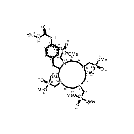 C=C(Nc1ccc(CC2CN(CP(=O)(OC)OC)CCN(CP(=O)(OC)OC)CCN(CP(=O)(OC)OC)CCN2CP(=O)(OC)OC)cc1)NC(C)(C)C